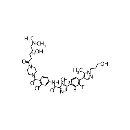 Cc1c(-c2ccc(-c3cnc(C(=O)Nc4ccc(C(=O)N5CCN(C(=O)CC[C@@H](O)CN(C)C)CC5)c(Cl)c4)n3C)c(F)c2F)cnn1CCCO